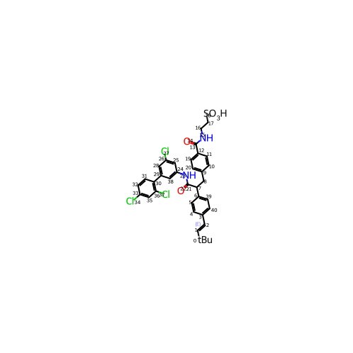 CC(C)(C)/C=C/c1ccc(C(Cc2ccc(C(=O)NCCS(=O)(=O)O)cc2)C(=O)Nc2cc(Cl)cc(-c3ccc(Cl)cc3Cl)c2)cc1